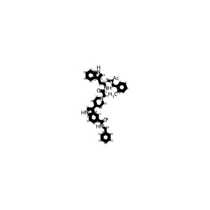 CC(=O)N(Cc1ccccc1C)C[C@@H](Cc1c[nH]c2ccccc12)NC(=O)CN1CC=C(c2c[nH]c3ccc(C(=O)NCc4ccccc4)cc23)CC1